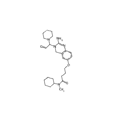 CN(C(=O)CCCOc1ccc2c(c1)CN(C(C=O)N1CCCCC1)C(N)=N2)C1CCCCC1